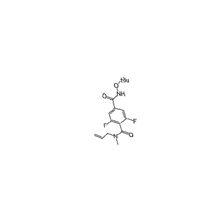 C=CCN(C)C(=O)c1c(F)cc(C(=O)NOC(C)(C)C)cc1F